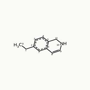 CCc1ccc2c(c1)C=CNC2